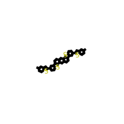 Cc1ccc2sc(-c3ccc4sc5c6cc7ccc8c9cc(-c%10cc%11cc(C)ccc%11s%10)ccc9sc8c7cc6ccc5c4c3)cc2c1